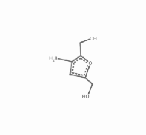 Bc1cc(CO)oc1CO